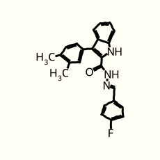 Cc1ccc(-c2c(C(=O)NN=Cc3ccc(F)cc3)[nH]c3ccccc23)cc1C